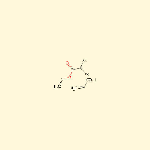 C=CC(=O)O.C=COC(=O)C(C(C)=O)C(C)=O